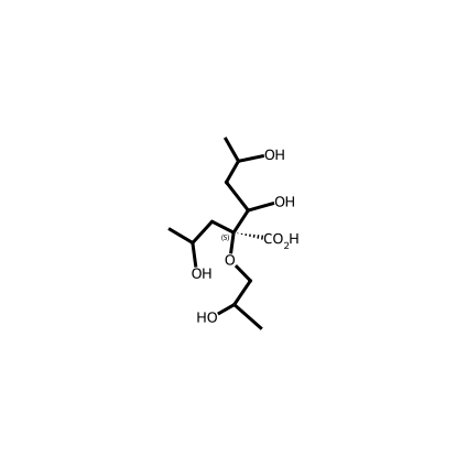 CC(O)CO[C@](CC(C)O)(C(=O)O)C(O)CC(C)O